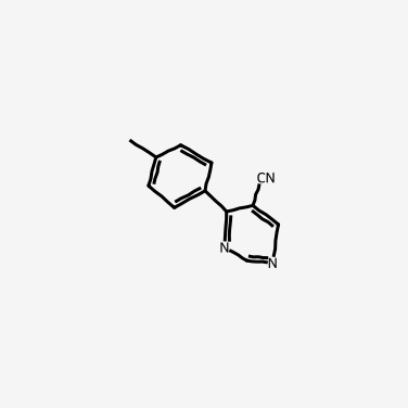 Cc1ccc(-c2ncncc2C#N)cc1